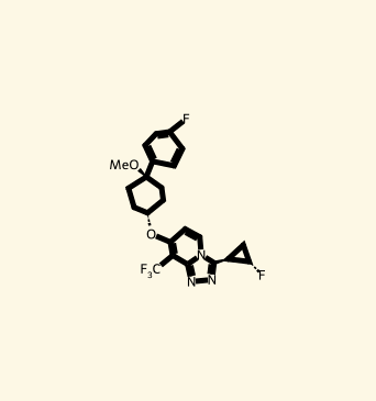 CO[C@]1(c2ccc(F)cc2)CC[C@@H](Oc2ccn3c([C@H]4C[C@@H]4F)nnc3c2C(F)(F)F)CC1